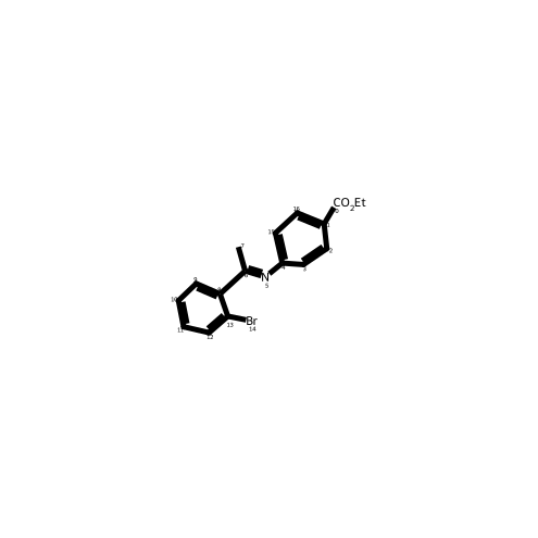 CCOC(=O)c1ccc(/N=C(\C)c2ccccc2Br)cc1